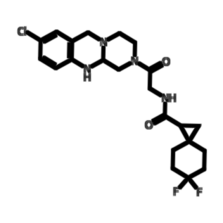 O=C(NCC(=O)N1CCN2Cc3cc(Cl)ccc3NC2C1)C1CC12CCC(F)(F)CC2